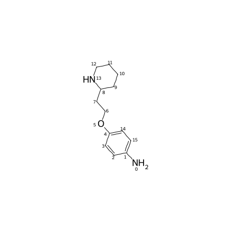 Nc1ccc(OCCC2CCCCN2)cc1